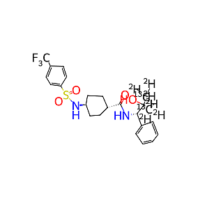 [2H][13C]([2H])([2H])C(O)([C@@H](NC(=O)[C@H]1CC[C@H](NS(=O)(=O)c2ccc(C(F)(F)F)cc2)CC1)c1ccccc1)[13C]([2H])([2H])[2H]